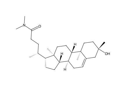 C[C@H](CCC(=O)N(C)C)[C@H]1CC[C@H]2[C@@H]3CC=C4C[C@@](C)(O)CC[C@]4(C)[C@H]3CC[C@]12C